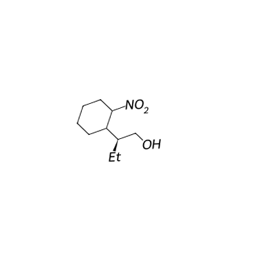 CC[C@H](CO)C1CCCCC1[N+](=O)[O-]